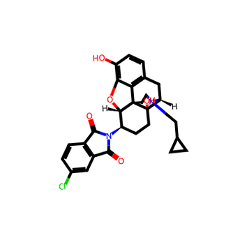 O=C1c2ccc(Cl)cc2C(=O)N1[C@@H]1CC[C@@]2(O)[C@H]3Cc4ccc(O)c5c4[C@@]2(CCN3CC2CC2)[C@H]1O5